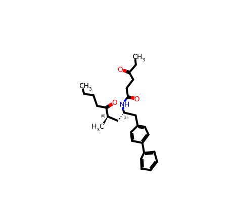 CCCCC(=O)[C@H](C)C[C@@H](Cc1ccc(-c2ccccc2)cc1)NC(=O)CCC(=O)CC